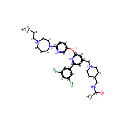 CC(O)NCC1CCN(Cc2cc(Oc3ccc(N4CCCN(CCC(=O)O)CC4)nc3)nc(-c3cc(Cl)cc(Cl)c3)c2)CC1